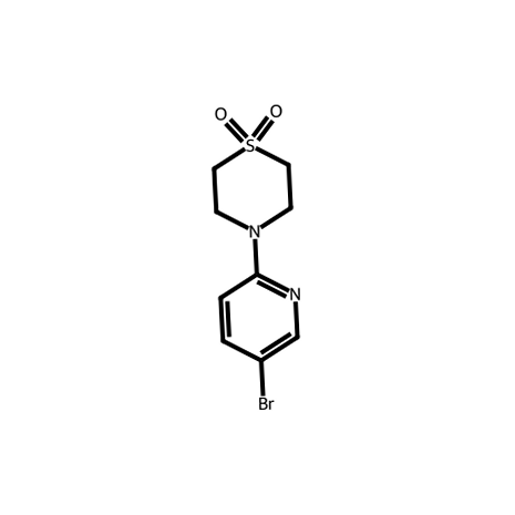 O=S1(=O)CCN(c2ccc(Br)cn2)CC1